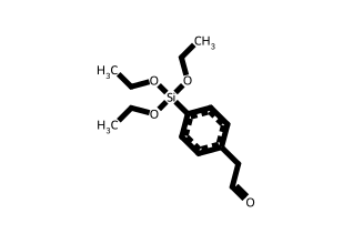 CCO[Si](OCC)(OCC)c1ccc(CC=O)cc1